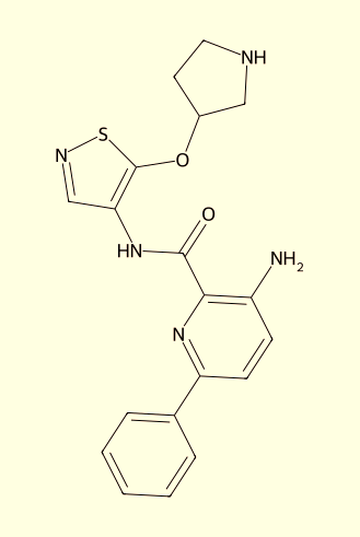 Nc1ccc(-c2ccccc2)nc1C(=O)Nc1cnsc1OC1CCNC1